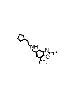 CC(C)c1nc2cc(CNCCC3CCCC3)cc(C(F)(F)F)c2o1